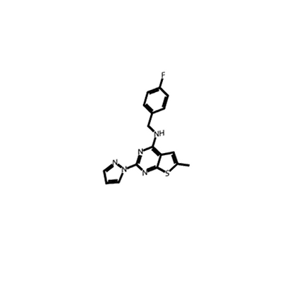 Cc1cc2c(NCc3ccc(F)cc3)nc(-n3cccn3)nc2s1